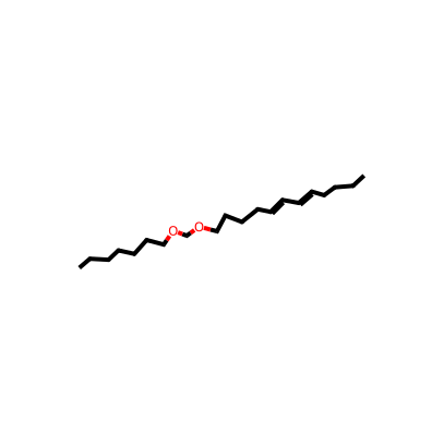 CCCCC=CC=CCCCCOCOCCCCCCC